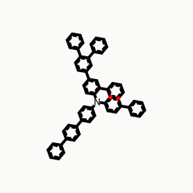 c1ccc(-c2ccc(-c3ccc(N(c4ccc(-c5ccccc5)cc4)c4ccc(-c5ccc(-c6ccccc6)c(-c6ccccc6)c5)cc4-c4ccccc4)cc3)cc2)cc1